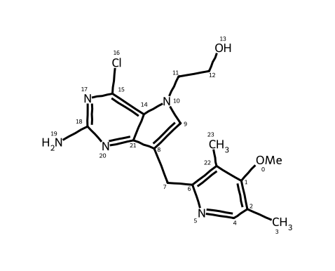 COc1c(C)cnc(Cc2cn(CCO)c3c(Cl)nc(N)nc23)c1C